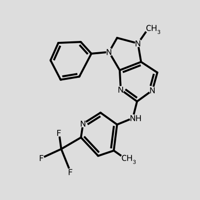 Cc1cc(C(F)(F)F)ncc1Nc1ncc2c(n1)N(c1ccccc1)CN2C